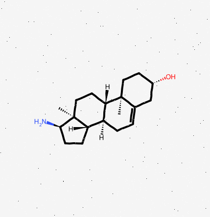 C[C@]12CC[C@H]3[C@@H](CC=C4C[C@@H](O)CC[C@@]43C)[C@@H]1CC[C@H]2N